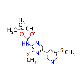 CSc1cncc(-c2cnc(NC(=O)OC(C)(C)C)c(SC)n2)c1